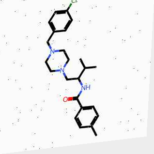 Cc1ccc(C(=O)NC(CN2CCN(Cc3ccc(Cl)cc3)CC2)C(C)C)cc1